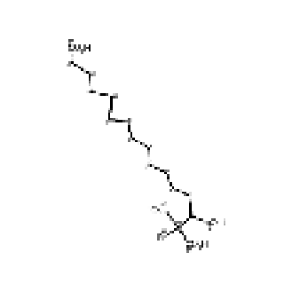 CCCCCCCCC(CCCCCCCCCCCCC(=O)O)C(CCCCCCCC)(C(=O)O)C(C)C